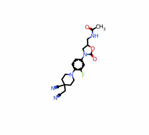 CC(=O)NCC1CN(c2ccc(N3CCC(C#N)(CC#N)CC3)c(F)c2)C(=O)O1